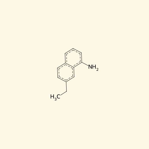 CCc1ccc2cccc(N)c2c1